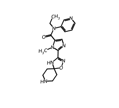 CCN(C(=O)c1cnc(C2=NOC3(CCNCC3)N2)n1C)c1cccnc1